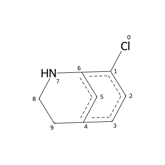 Clc1ccc2cc1NCC2